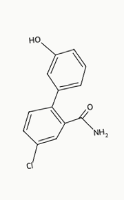 NC(=O)c1cc(Cl)ccc1-c1cccc(O)c1